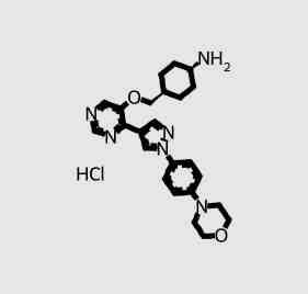 Cl.N[C@H]1CC[C@@H](COc2cncnc2-c2cnn(-c3ccc(N4CCOCC4)cc3)c2)CC1